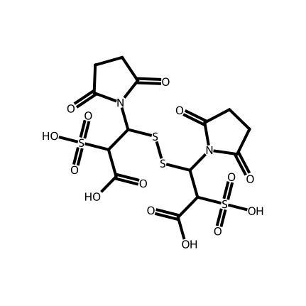 O=C(O)C(C(SSC(C(C(=O)O)S(=O)(=O)O)N1C(=O)CCC1=O)N1C(=O)CCC1=O)S(=O)(=O)O